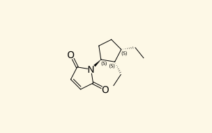 CC[C@H]1CC[C@H](N2C(=O)C=CC2=O)[C@H]1CC